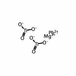 [Mg+2].[O]=[Ti]([O-])[O-].[O]=[Ti]([O-])[O-].[Pb+2]